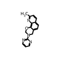 Cc1ccc2ccc3c(c2n1)OCN(c1ncccn1)C3